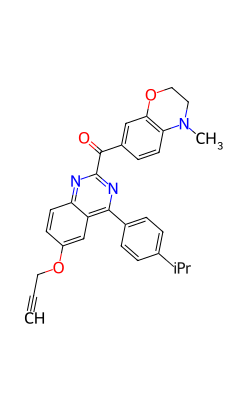 C#CCOc1ccc2nc(C(=O)c3ccc4c(c3)OCCN4C)nc(-c3ccc(C(C)C)cc3)c2c1